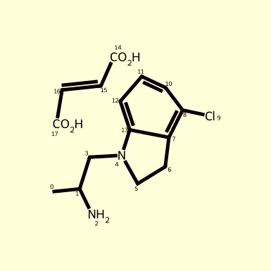 CC(N)CN1CCc2c(Cl)cccc21.O=C(O)C=CC(=O)O